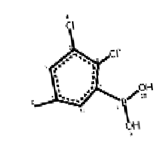 Cc1cc(Cl)c(Cl)c(B(O)O)c1